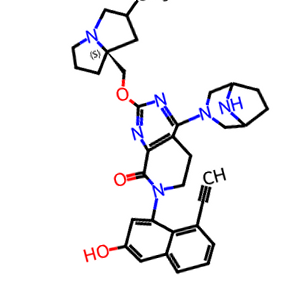 C#Cc1cccc2cc(O)cc(N3CCc4c(nc(OC[C@@]56CCCN5CC(C)C6)nc4N4CC5CCC(C4)N5)C3=O)c12